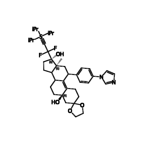 CC(C)S(#CC(F)(F)[C@]1(O)CCC2C3CC[C@@]4(O)CC5(CCC4=C3C(c3ccc(-n4ccnc4)cc3)C[C@@]21C)OCCO5)(C(C)C)C(C)C